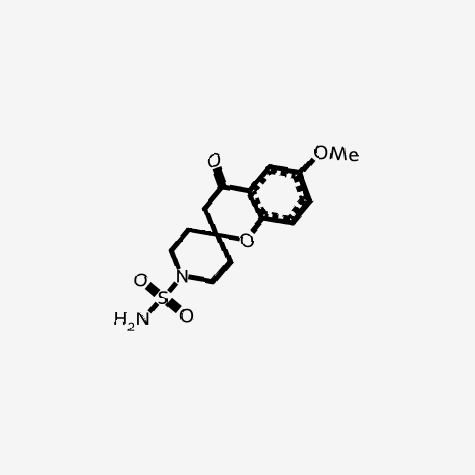 COc1ccc2c(c1)C(=O)CC1(CCN(S(N)(=O)=O)CC1)O2